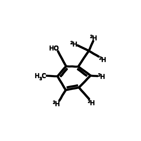 [2H]c1c([2H])c(C)c(O)c(C([2H])([2H])[2H])c1[2H]